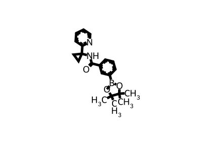 CC1(C)OB(c2cccc(C(=O)NC3(c4ccccn4)CC3)c2)OC1(C)C